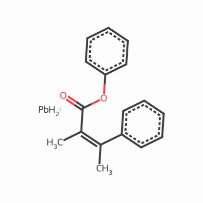 CC(C(=O)Oc1ccccc1)=C(C)c1ccccc1.[PbH2]